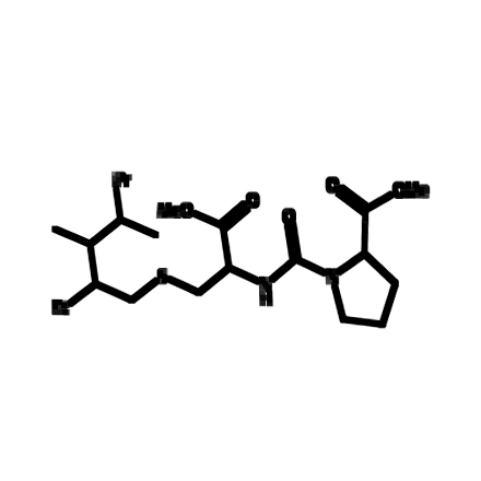 CCC(CSCC(NC(=O)N1CCCC1C(=O)OC)C(=O)OC)C(C)C(C)C(C)C